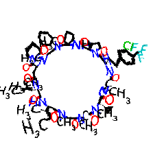 CC[C@H](C)[C@@H]1NC(=O)[C@H](CC(C)C)N(C)C(=O)C[C@@H](C(=O)N2CCCCC2)N(C)C(=O)[C@H](C2CCCCC2)N(C)C(=O)C2(CCCC2)NC(=O)[C@@H]2CCCN2C(=O)[C@H](CCc2ccc(C(F)(F)F)c(Cl)c2)NC(=O)CN(C)C(=O)[C@H](C2CC2)N(C)C(=O)CN(C)C(=O)CN(C)C1=O